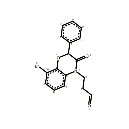 O=CCCN1C(=O)C(c2ccccc2)Oc2c(Br)cccc21